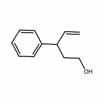 C=CC(CCO)c1ccccc1